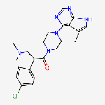 Cc1c[nH]c2ncnc(N3CCN(C(=O)C(CN(C)C)c4ccc(Cl)cc4)CC3)c12